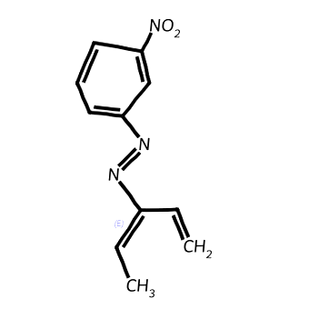 C=C/C(=C\C)N=Nc1cccc([N+](=O)[O-])c1